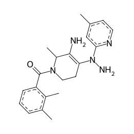 Cc1ccnc(N(N)C2=C(N)C(C)N(C(=O)c3cccc(C)c3C)CC2)c1